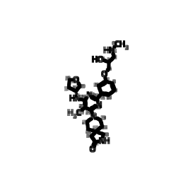 CNCC(O)COc1cccc(-c2nc(N[C@@H]3CCOC3)c(C)c(N3CCC4(CC3)CNC(=O)C4)n2)c1